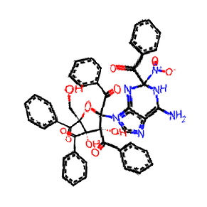 NC1=c2ncn([C@]3(C(=O)c4ccccc4)O[C@@](CO)(C(=O)c4ccccc4)[C@](O)(C(=O)c4ccccc4)[C@]3(O)C(=O)c3ccccc3)c2=NC(C(=O)c2ccccc2)([N+](=O)[O-])N1